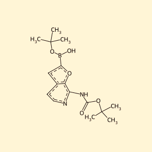 CC(C)(C)OB(O)c1cc2ccnc(NC(=O)OC(C)(C)C)c2o1